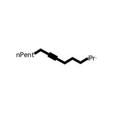 [CH2]CCCCCC#CCCC[C](C)C